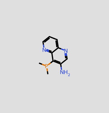 CP(C)c1c(N)cnc2cccnc12